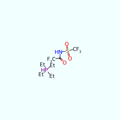 CC[PH](CC)(CC)CC.O=C(NS(=O)(=O)C(F)(F)F)C(F)(F)F